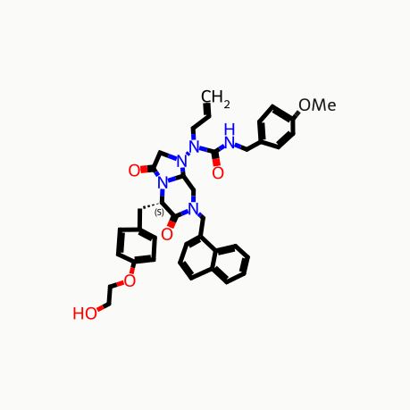 C=CCN(C(=O)NCc1ccc(OC)cc1)N1CC(=O)N2C1CN(Cc1cccc3ccccc13)C(=O)[C@@H]2Cc1ccc(OCCO)cc1